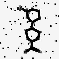 CCC(=O)N1CCC(N2CCC[C@H](C)C2)CC1